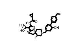 CCc1ccc(-c2ccc(CN3CCC(CC#N)(n4cc(C(N)O)c(NC(=O)C5CC5)n4)C(F)C3)cc2O)cc1